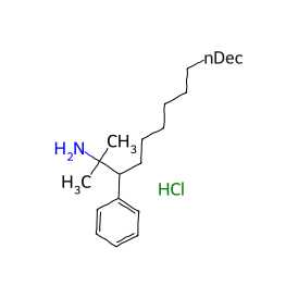 CCCCCCCCCCCCCCCCC(c1ccccc1)C(C)(C)N.Cl